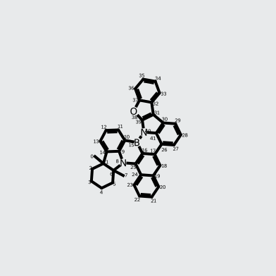 CC12CCCCC1(C)N1c3c(cccc32)B2c3c(cc4ccccc4c31)-c1cccc3c4c5ccccc5oc4n2c13